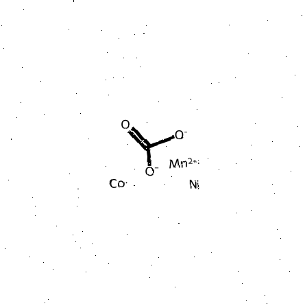 O=C([O-])[O-].[Co].[Mn+2].[Ni]